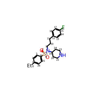 CCc1ccc(S(=O)(=O)N(CCCc2ccc(F)cc2)C2CCNCC2)cc1